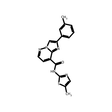 Cc1cccc(-c2cn3nccc(C(=O)Nc4ncc(C)s4)c3n2)c1